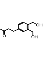 CC(=O)CCc1ccc(CO)c(CO)c1